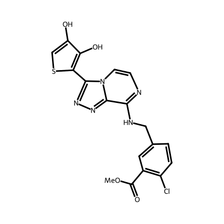 COC(=O)c1cc(CNc2nccn3c(-c4scc(O)c4O)nnc23)ccc1Cl